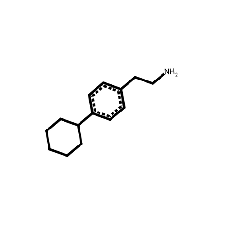 NCCc1ccc(C2CCCCC2)cc1